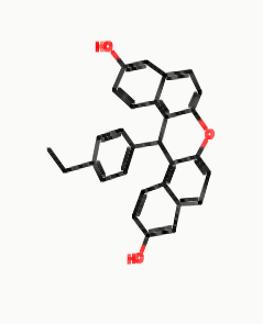 CCc1ccc(C2c3c(ccc4cc(O)ccc34)Oc3ccc4cc(O)ccc4c32)cc1